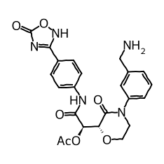 CC(=O)O[C@@H](C(=O)Nc1ccc(-c2nc(=O)o[nH]2)cc1)[C@H]1OCCN(c2cccc(CN)c2)C1=O